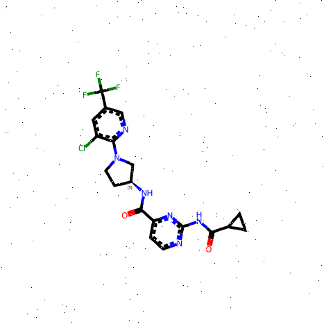 O=C(N[C@H]1CCN(c2ncc(C(F)(F)F)cc2Cl)C1)c1ccnc(NC(=O)C2CC2)n1